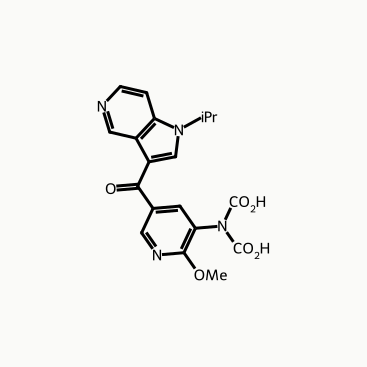 COc1ncc(C(=O)c2cn(C(C)C)c3ccncc23)cc1N(C(=O)O)C(=O)O